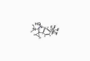 CN(C)/C(=N\O)C1(c2ccc(S(F)(F)(F)(F)F)cc2)CC1